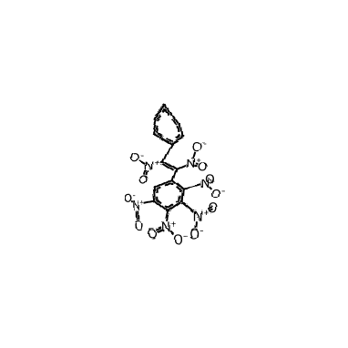 O=[N+]([O-])C(=C(c1cc([N+](=O)[O-])c([N+](=O)[O-])c([N+](=O)[O-])c1[N+](=O)[O-])[N+](=O)[O-])c1ccccc1